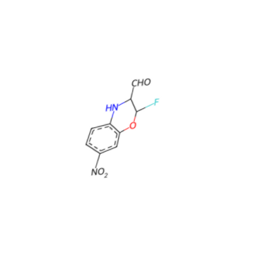 O=CC1Nc2ccc([N+](=O)[O-])cc2OC1F